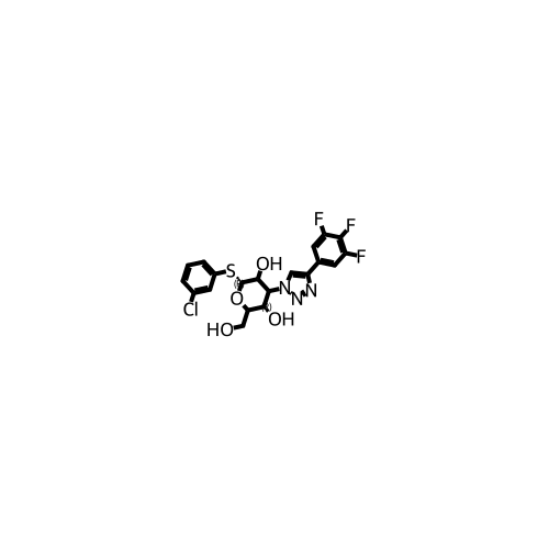 OCC1O[C@H](Sc2cccc(Cl)c2)C(O)C(n2cc(-c3cc(F)c(F)c(F)c3)nn2)[C@H]1O